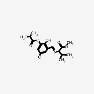 COC(=O)C(N=Cc1cc(Cl)cc(OC(=O)C(C)C)c1O)C(C)C